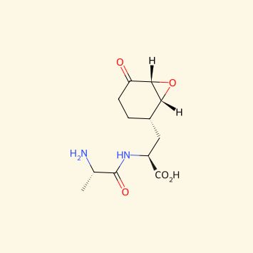 C[C@H](N)C(=O)N[C@@H](C[C@@H]1CCC(=O)[C@@H]2O[C@H]12)C(=O)O